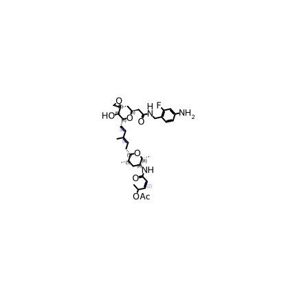 CC(=O)OC(C)/C=C\C(=O)N[C@@H]1C[C@H](C)[C@H](C/C=C(C)/C=C/[C@H]2O[C@H](CC(=O)NCc3ccc(N)cc3F)C[C@@]3(CO3)[C@@H]2O)O[C@@H]1C